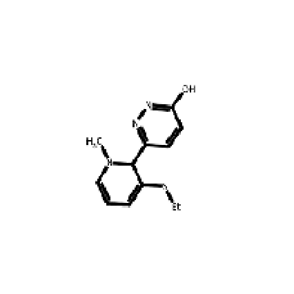 CCSC1=CC=CN(C)C1c1ccc(O)nn1